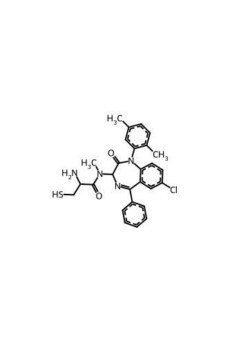 Cc1ccc(C)c(N2C(=O)C(N(C)C(=O)C(N)CS)N=C(c3ccccc3)c3cc(Cl)ccc32)c1